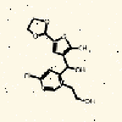 Cc1sc(C2OCCO2)cc1C(O)c1cc(Cl)ncc1CCO